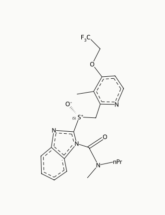 [CH2][CH]CN(C)C(=O)n1c([S@+]([O-])Cc2nccc(OCC(F)(F)F)c2C)nc2ccccc21